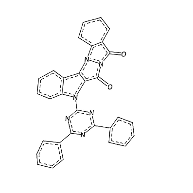 O=c1c2ccccc2n2c3c4ccccc4n(-c4nc(-c5ccccc5)nc(-c5ccccc5)n4)c3c(=O)n12